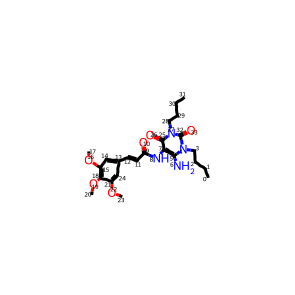 CCCCn1c(N)c(NC(=O)C=Cc2cc(OC)c(OC)c(OC)c2)c(=O)n(CCCC)c1=O